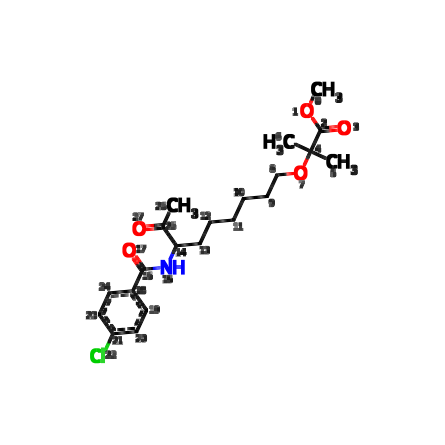 COC(=O)C(C)(C)OCCCCCCC(NC(=O)c1ccc(Cl)cc1)C(C)=O